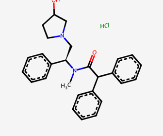 CN(C(=O)C(c1ccccc1)c1ccccc1)[C@H](CN1CCC(O)C1)c1ccccc1.Cl